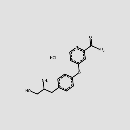 Cl.NC(=O)c1cc(Oc2ccc(CC(N)CO)cc2)ccn1